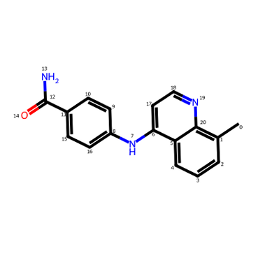 Cc1cccc2c(Nc3ccc(C(N)=O)cc3)ccnc12